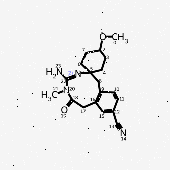 COC1CCC2(CC1)Cc1ccc(C#N)cc1CC(=O)N(C)/C(N)=N\2